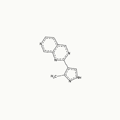 Cc1n[nH]cc1-c1ncc2ccncc2n1